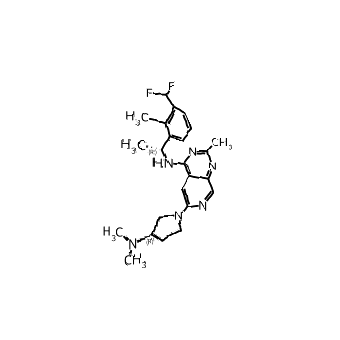 Cc1nc(N[C@H](C)c2cccc(C(F)F)c2C)c2cc(N3CC[C@@H](N(C)C)C3)ncc2n1